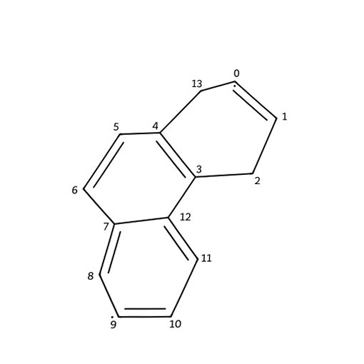 [C]1=CCc2c(ccc3c[c]ccc23)C1